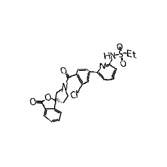 CCS(=O)(=O)Nc1cccc(-c2ccc(C(=O)N3CC[C@@]4(C3)OC(=O)c3ccccc34)c(Cl)c2)n1